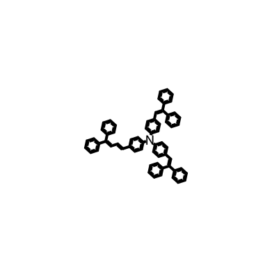 C(/C=C/c1ccc(N(c2ccc(C=C(c3ccccc3)c3ccccc3)cc2)c2ccc(C=C(c3ccccc3)c3ccccc3)cc2)cc1)=C(c1ccccc1)c1ccccc1